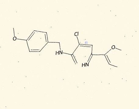 C=C(NCc1ccc(OC)cc1)/C(Cl)=C\C(=N)C(=CC)OC